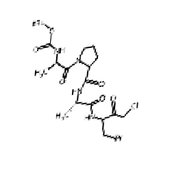 CC(C)CC(NC(=O)[C@H](C)NC(=O)C1CCCN1C(=O)[C@@H](C)NC(=O)OC(C)(C)C)C(=O)CCl